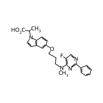 CC(C(=O)O)n1ccc2cc(OCCCN(C)c3nc(-c4ccccc4)ncc3F)ccc21